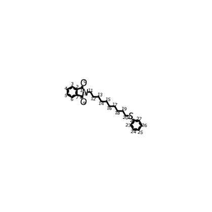 O=C1c2ccccc2C(=O)N1CCCCCCCCCCSc1ccccc1